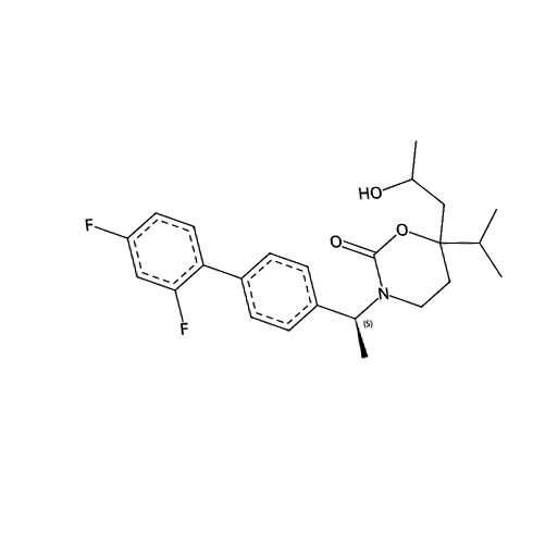 CC(O)CC1(C(C)C)CCN([C@@H](C)c2ccc(-c3ccc(F)cc3F)cc2)C(=O)O1